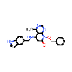 Cc1ncnc2c1c(NCc1ccc3[nH]ccc3c1)cc(=O)n2OCc1ccccc1